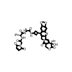 CCC[C@@]1(O)C(=O)OCc2c1cc1n(c2=O)Cc2c-1nc1cc3c(cc1c2C12CC(NC(=O)[C@H](C)NC(=O)[C@@H](NC(=O)CN4C(=O)C=CC4=O)C(C)C)(C1)C2)OCO3